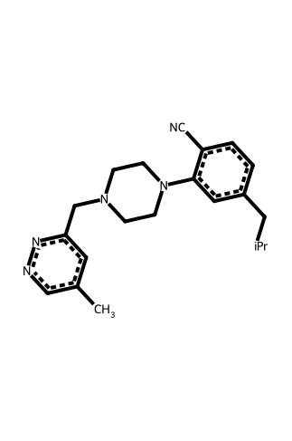 Cc1cnnc(CN2CCN(c3cc(CC(C)C)ccc3C#N)CC2)c1